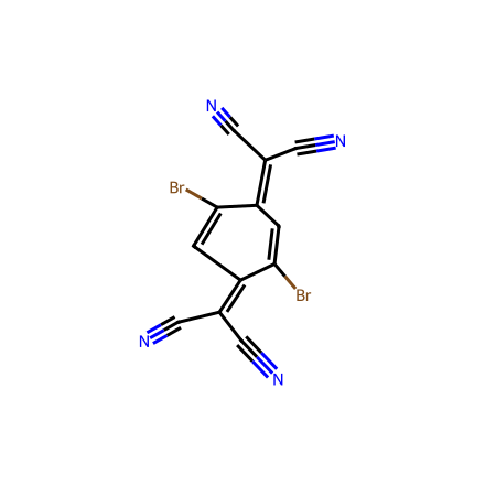 N#CC(C#N)=c1cc(Br)c(=C(C#N)C#N)cc1Br